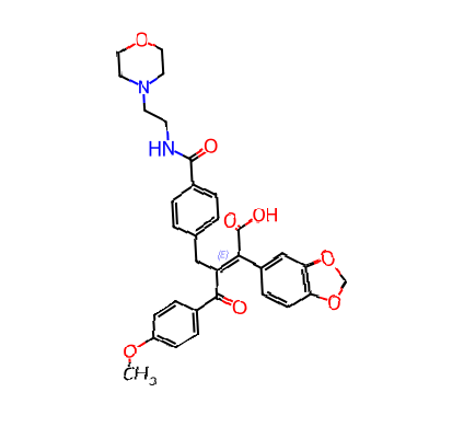 COc1ccc(C(=O)/C(Cc2ccc(C(=O)NCCN3CCOCC3)cc2)=C(/C(=O)O)c2ccc3c(c2)OCO3)cc1